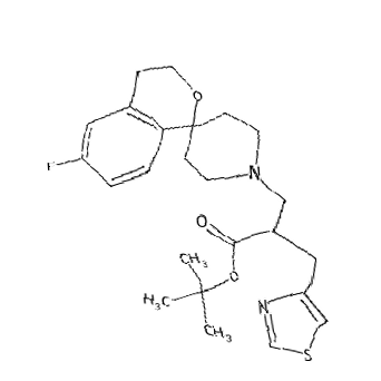 CC(C)(C)OC(=O)C(Cc1cscn1)CN1CCC2(CC1)OCCc1cc(F)ccc12